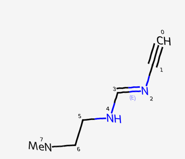 C#C/N=C/NCCNC